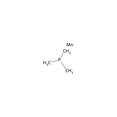 CP(C)C.[Mn]